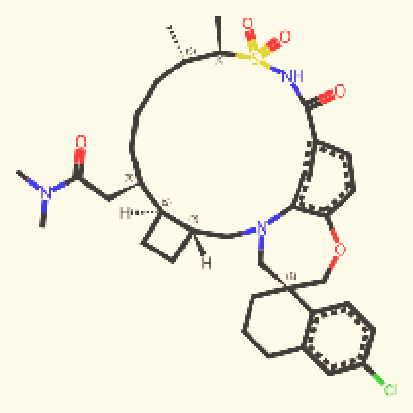 C[C@@H]1[C@@H](C)CCC[C@H](CC(=O)N(C)C)[C@@H]2CC[C@H]2CN2C[C@@]3(CCCc4cc(Cl)ccc43)COc3ccc(cc32)C(=O)NS1(=O)=O